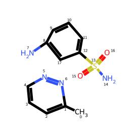 Cc1cccnn1.Nc1cccc(S(N)(=O)=O)c1